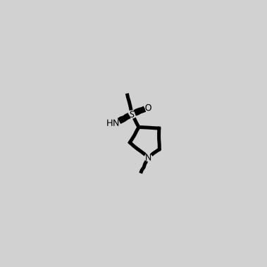 CN1CCC(S(C)(=N)=O)C1